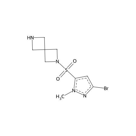 Cn1nc(Br)cc1S(=O)(=O)N1CC2(CNC2)C1